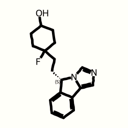 OC1CCC(F)(CC[C@H]2c3ccccc3-c3cncn32)CC1